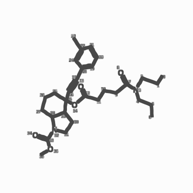 CCCN(CCC)C(=O)CCCC(=O)OC1(C#Cc2cccc(C)c2)CCCC2C1CCN2C(=O)OC